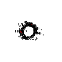 C[C@@H](O)C1NC(=O)[C@H](Cc2ccc(O)cc2)NC(=O)C([C@@H](C)O)NC(=O)[C@H](CCCCN)NC(=O)[C@H](Cc2c[nH]c3ccccc23)NC(=O)[C@H](Cc2ccccc2)NC(=O)[C@H](Cc2ccccc2)NC(=O)C(CC(N)=O)NC(=O)[C@H](CCCCN)NC(=O)CCCCC[C@@H](C(=O)O)NC(=O)[C@H](CO)NC1=O